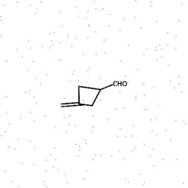 C=C1CC(C=O)C1